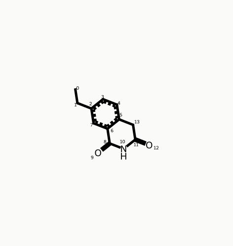 CCc1ccc2c(c1)C(=O)NC(=O)C2